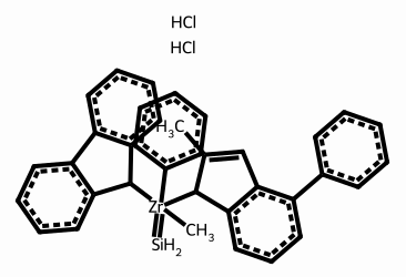 CC1=Cc2c(-c3ccccc3)cccc2[CH]1[Zr]([CH3])(=[SiH2])([c]1ccccc1)[CH]1c2ccccc2-c2ccccc21.Cl.Cl